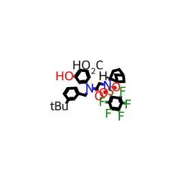 CC(C)(C)c1cccc(CN(C(=O)CN([C@@H]2CCC3CC2C3)S(=O)(=O)c2c(F)c(F)c(F)c(F)c2F)c2ccc(C(=O)O)c(O)c2)c1